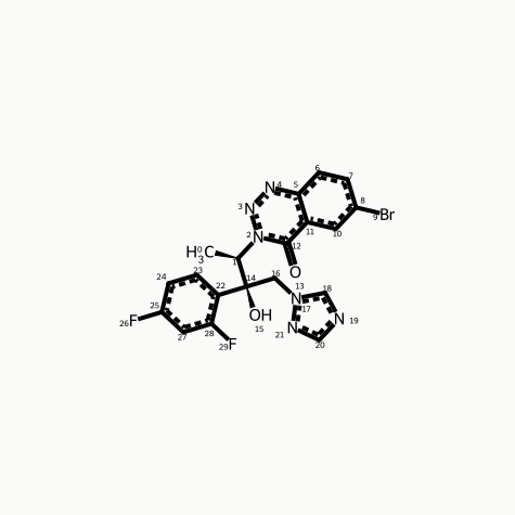 C[C@@H](n1nnc2ccc(Br)cc2c1=O)[C@](O)(Cn1cncn1)c1ccc(F)cc1F